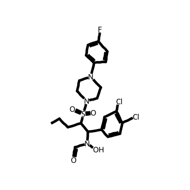 CCCC(C(c1ccc(Cl)c(Cl)c1)N(O)C=O)S(=O)(=O)N1CCN(c2ccc(F)cc2)CC1